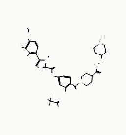 CN1CCC(NNC(=O)C2CCN(C(=O)c3ccc(NC(=O)c4ncc(-c5ccc(OCF)c(F)c5F)n4C)cc3Cl)CC2)CC1.O=C(O)C(F)(F)F